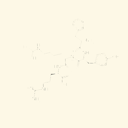 CC(C)NCCCC[C@H](NC(=O)[C@H](Cc1ccc(O)cc1)NC(=O)[C@@H](N)Cc1ccccc1)C(=O)N[C@H](CCCNC(=N)N)C(=O)O